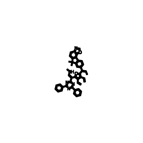 C=Cc1c(/C(=C\C)c2ccc3c(c2)C(C)(C)c2ccc4ncoc4c2-3)oc(/C(=C\BC)c2nc(-c3ccccc3)nc(-c3ccccc3)n2)c1C=C